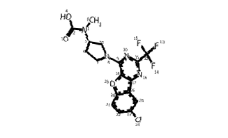 CN(C(=O)O)[C@@H]1CCN(c2nc(C(F)(F)F)nc3c2oc2ccc(Cl)cc23)C1